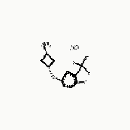 Cl.N[C@H]1C[C@H](Oc2ccc(F)c(C(F)(F)F)c2)C1